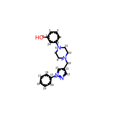 Oc1cccc(N2CCN(Cc3cnn(-c4ccccc4)c3)CC2)c1